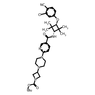 CC(C)(C)OC(=O)N1CC(N2CCN(c3ccc(C(=O)N[C@H]4C(C)(C)[C@H](Oc5ccc(C#N)c(Cl)c5)C4(C)C)cn3)CC2)C1